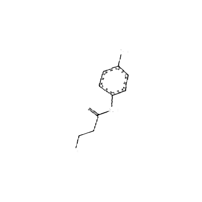 Nc1ccc(NC(=O)CCO)cc1